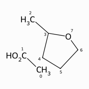 CC(=O)O.CC1CCCO1